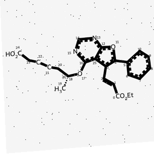 CCOC(=O)C=Cc1c(-c2ccccc2)oc2ncnc(O[C@H](C)CCCCC(=O)O)c12